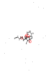 C=CCOCC(O)C1(C)OC1(C)C1([SiH3])CCCCO1